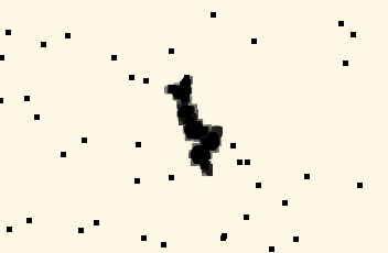 CCCC(CCC)COc1cnc(-c2cccc(Cn3nc(-c4cccc(C#N)c4)ccc3=O)c2)nc1